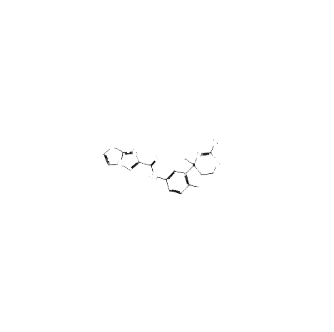 CC1(c2cc(NC(=O)c3cn4ccsc4n3)ccc2F)CCSC(N)=N1